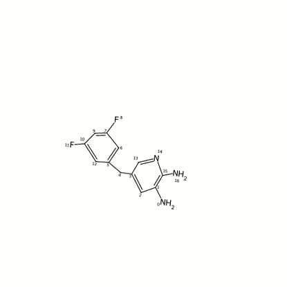 Nc1cc(Cc2cc(F)cc(F)c2)cnc1N